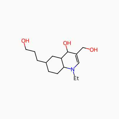 CCN1C=C(CO)C(O)C2CC(CCCO)CCC21